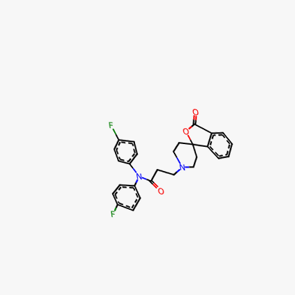 O=C1OC2(CCN(CCC(=O)N(c3ccc(F)cc3)c3ccc(F)cc3)CC2)c2ccccc21